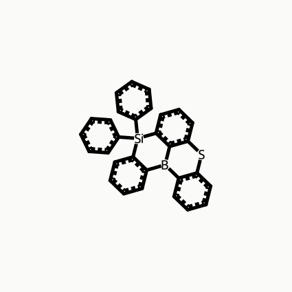 c1ccc([Si]2(c3ccccc3)c3ccccc3B3c4ccccc4Sc4cccc2c43)cc1